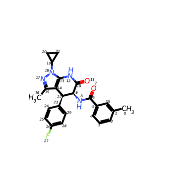 Cc1cccc(C(=O)N[C@@H]2C(=O)Nc3c(c(C)nn3C3CC3)[C@@H]2c2ccc(F)cc2)c1